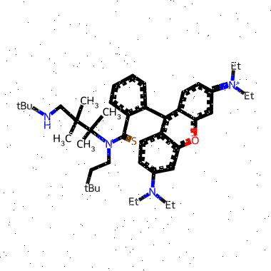 CCN(CC)c1ccc2c(-c3ccccc3C(=S)N(CCC(C)(C)C)C(C)(C)C(C)(C)CNC(C)(C)C)c3ccc(=[N+](CC)CC)cc-3oc2c1